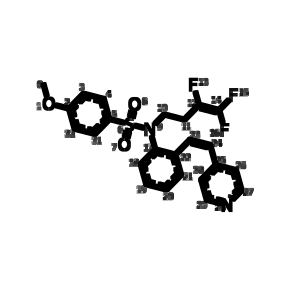 COc1ccc(S(=O)(=O)N(CCC(F)=C(F)F)c2ccccc2C=Cc2ccncc2)cc1